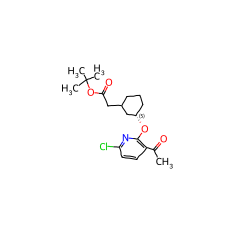 CC(=O)c1ccc(Cl)nc1O[C@H]1CCCC(CC(=O)OC(C)(C)C)C1